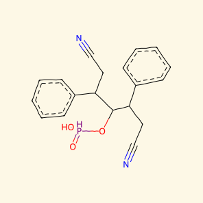 N#CCC(c1ccccc1)C(O[PH](=O)O)C(CC#N)c1ccccc1